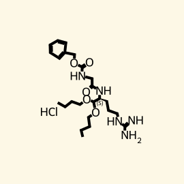 CCCCOC(OCCCC)[C@H](CCCNC(=N)N)NC(=O)CNC(=O)OCc1ccccc1.Cl